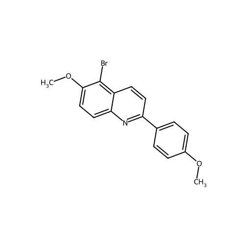 COc1ccc(-c2ccc3c(Br)c(OC)ccc3n2)cc1